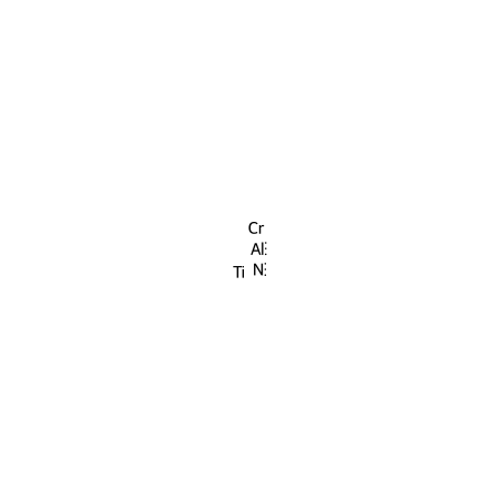 [Al].[Cr].[N].[Ti]